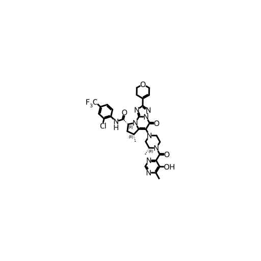 Cc1ncnc(C(=O)N2CCN(c3c4n(c5nc(C6=CCOCC6)nn5c3=O)[C@@H](C(=O)Nc3ccc(C(F)(F)F)cc3Cl)C[C@H]4C)C[C@H]2C)c1O